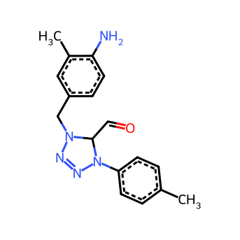 Cc1ccc(N2N=NN(Cc3ccc(N)c(C)c3)C2C=O)cc1